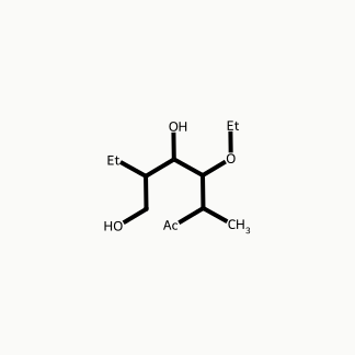 CCOC(C(C)C(C)=O)C(O)C(CC)CO